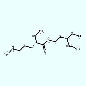 CNCCC[C@H](NC)C(=O)NCC[C@@H](CO)NC